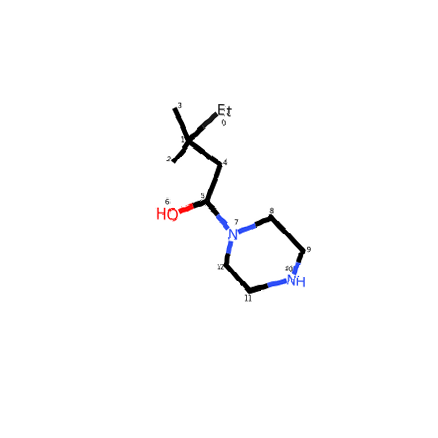 CCC(C)(C)CC(O)N1CCNCC1